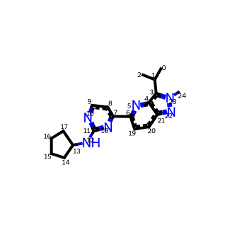 CC(C)c1c2nc(-c3ccnc(NC4CCCC4)n3)ccc2nn1C